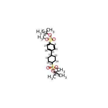 C[Si](C)(C)OS(=O)(=O)c1ccc(C2CCC(S(=O)(=O)O[Si](C)(C)C)CC2)cc1